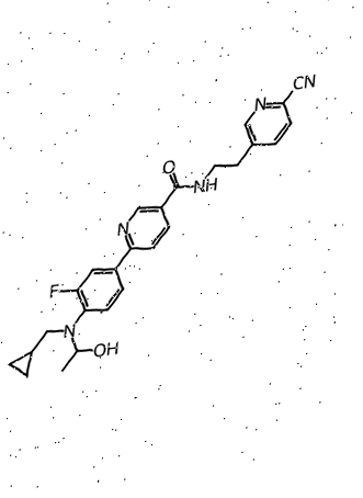 CC(O)N(CC1CC1)c1ccc(-c2ccc(C(=O)NCCc3ccc(C#N)nc3)cn2)cc1F